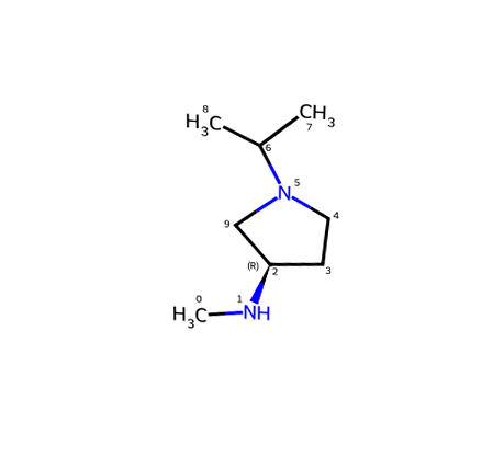 CN[C@@H]1CCN(C(C)C)C1